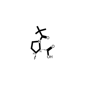 CC(C)(C)C(=O)N1CC[C@@H](F)[C@H]1C(=O)O